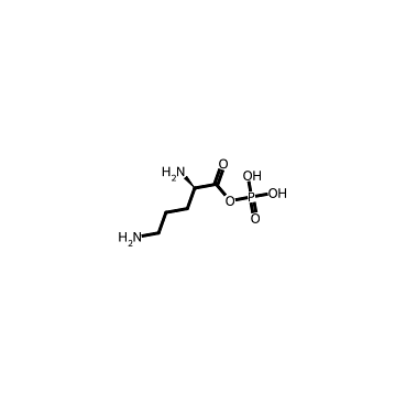 NCCC[C@@H](N)C(=O)OP(=O)(O)O